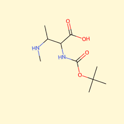 CNC(C)C(NC(=O)OC(C)(C)C)C(=O)O